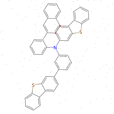 c1cc(-c2ccc3c(c2)sc2ccccc23)cc(N(c2ccc3c(c2)sc2ccccc23)c2ccccc2-c2ccc3ccccc3c2)c1